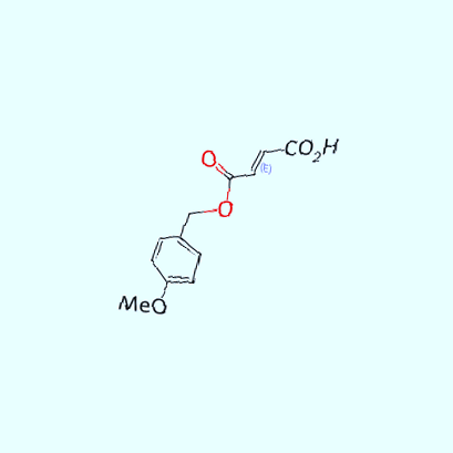 COc1ccc(COC(=O)/C=C/C(=O)O)cc1